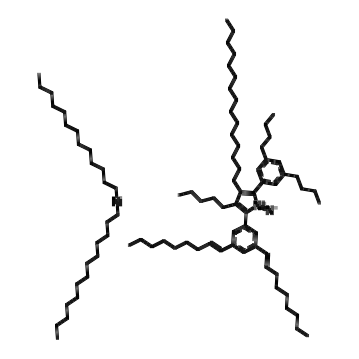 CCCCCCCC=Cc1cc(C=CCCCCCCC)cc(C2=C(CCCCC)C(CCCCCCCCCCCCCCC)=C(c3cc(CCCC)cc(CCCC)c3)[N+]2=[N-])c1.CCCCCCCCCCCC[CH2][Ni][CH2]CCCCCCCCCCCC